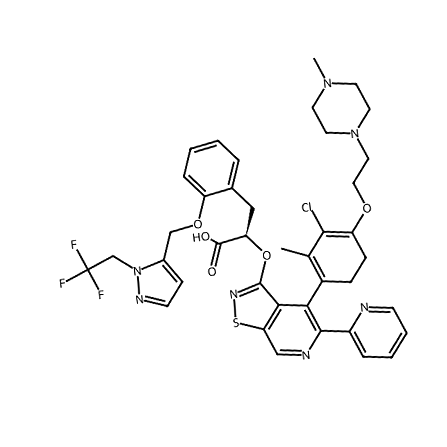 CC1=C(c2c(-c3ccccn3)ncc3snc(O[C@H](Cc4ccccc4OCc4ccnn4CC(F)(F)F)C(=O)O)c23)CCC(OCCN2CCN(C)CC2)=C1Cl